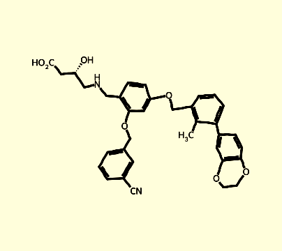 Cc1c(COc2ccc(CNC[C@@H](O)CC(=O)O)c(OCc3cccc(C#N)c3)c2)cccc1-c1ccc2c(c1)OCCO2